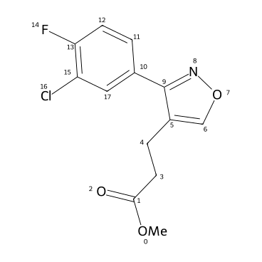 COC(=O)CCc1conc1-c1ccc(F)c(Cl)c1